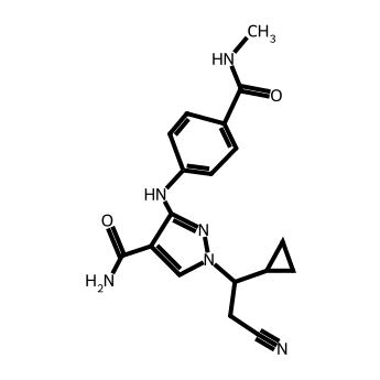 CNC(=O)c1ccc(Nc2nn(C(CC#N)C3CC3)cc2C(N)=O)cc1